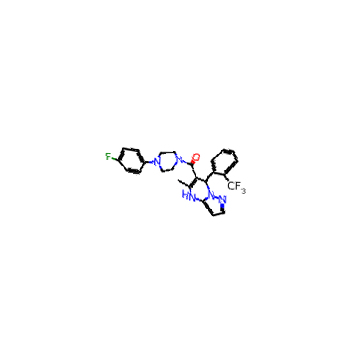 CC1=C(C(=O)N2CCN(c3ccc(F)cc3)CC2)C(c2ccccc2C(F)(F)F)n2nccc2N1